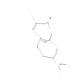 CCN(CC)c1ccc2c(c1)O[C@H](C(F)(F)F)C(C(=O)O)=C2